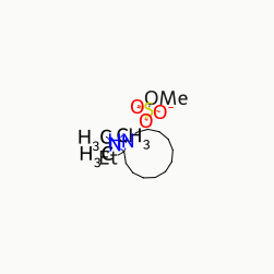 CCC1([N+](C)(C)C)CCCCCCCCCCCN1.COS(=O)(=O)[O-]